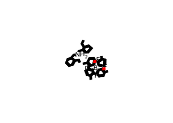 CCc1ccccc1C[NH2+]Cc1ccccc1CC.Cc1ccc(F)c([B-](c2c(F)ccc(C)c2F)(c2c(F)ccc(C)c2F)c2c(F)ccc(C)c2F)c1F